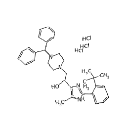 Cc1[nH]c(-c2ccccc2C(C)(C)C)nc1C(O)CN1CCN(C(c2ccccc2)c2ccccc2)CC1.Cl.Cl.Cl